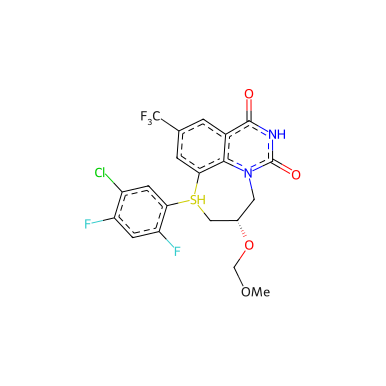 COCO[C@H]1Cn2c(=O)[nH]c(=O)c3cc(C(F)(F)F)cc(c32)[SH](c2cc(Cl)c(F)cc2F)C1